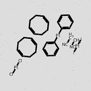 C1=C\CC/C=C\CC/1.C1=C\CC/C=C\CC/1.CC#N.CC#N.[Cl][Pt][Cl].[I][Pt][I].c1cc[c]([Pt][c]2ccccc2)cc1